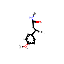 CCNC(=O)CC(C)c1ccc(OC(F)(F)F)cc1